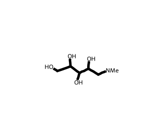 CNCC(O)C(O)C(O)CO